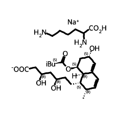 CC[C@H](C)C(=O)O[C@H]1C[C@H](O)C=C2C=C[C@H](C)[C@H](CC[C@@H](O)C[C@@H](O)CC(=O)[O-])[C@H]21.NCCCCC(N)C(=O)O.[Na+]